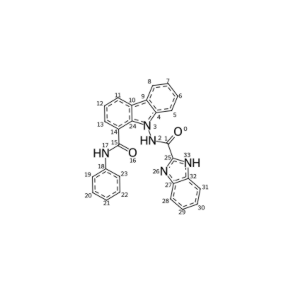 O=C(Nn1c2ccccc2c2cccc(C(=O)Nc3ccccc3)c21)c1nc2ccccc2[nH]1